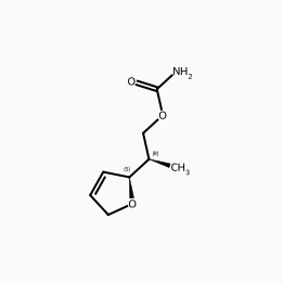 C[C@H](COC(N)=O)[C@@H]1C=CCO1